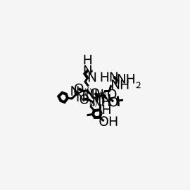 Cc1cc(O)cc(C)c1C[C@H](NC(=O)[C@@H](CCCNC(=N)N)NC(=O)OC(C)(C)C)C(=O)N[C@@H](CCc1c[nH]cn1)c1nc(Cc2ccccc2)no1